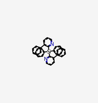 c1ccc(-c2cccnc2[Si](c2ccccc2)(c2ccccc2)c2ncccc2-c2ccccc2)cc1